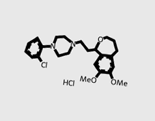 COc1cc2c(cc1OC)C(CCN1CCN(c3ccccc3Cl)CC1)OCCC2.Cl